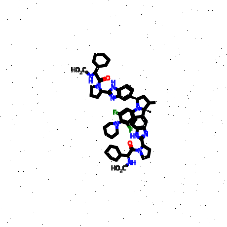 CC1C[C@H](c2ccc3[nH]c(C4CCCN4C(=O)C(NC(=O)O)C4CCCCC4)nc3c2)N(c2cc(F)c(N3CCCCC3)c(F)c2)[C@]1(C)c1ccc2[nH]c(C3CCCN3C(=O)[C@@H](NC(=O)O)C3CCCCC3)nc2c1